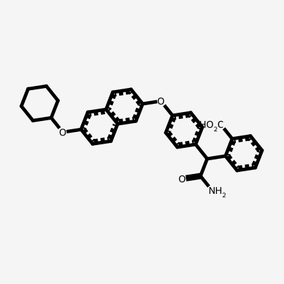 NC(=O)C(c1ccc(Oc2ccc3cc(OC4CCCCC4)ccc3c2)cc1)c1ccccc1C(=O)O